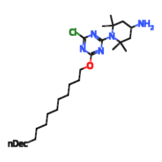 CCCCCCCCCCCCCCCCCCCCOc1nc(Cl)nc(N2C(C)(C)CC(N)CC2(C)C)n1